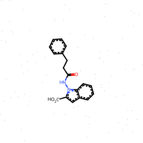 O=C(CCc1ccccc1)Nn1c(C(=O)O)cc2ccccc21